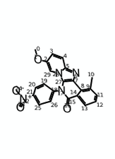 COc1ccc2nc3c4c(C)cccc4c(=O)n(-c4ccc([N+](=O)[O-])cc4)c3n2c1